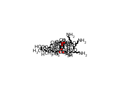 CC(C)C[C@H](NC(=O)[C@H](C)NC(=O)[C@H](C)NC(=O)[C@H](CC(C)C)NC(=O)[C@H](C)NC(=O)[C@H](C)NC(=O)[C@H](CC(C)C)NC(=O)[C@H](CS)NC(=O)[C@H](CCCCN)NC(=O)[C@H](CCCCN)NC(=O)[C@@H](N)CCCCN)C(=O)N[C@@H](C)C(=O)N[C@@H](C)C(=O)O